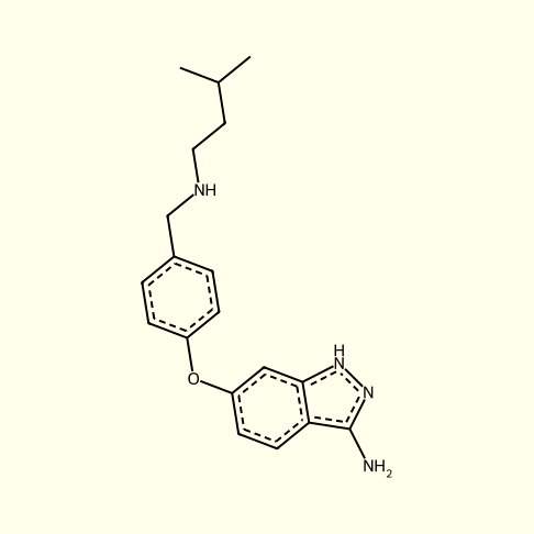 CC(C)CCNCc1ccc(Oc2ccc3c(N)n[nH]c3c2)cc1